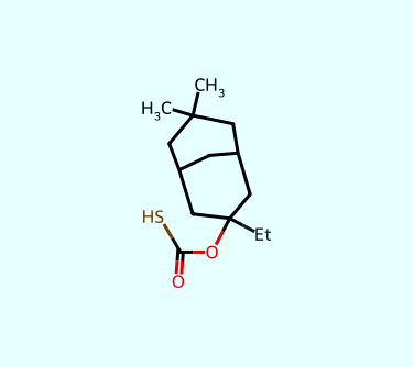 CCC1(OC(=O)S)CC2CC(CC(C)(C)C2)C1